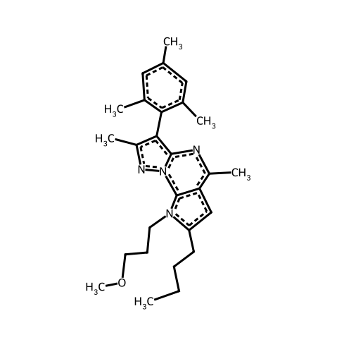 CCCCc1cc2c(C)nc3c(-c4c(C)cc(C)cc4C)c(C)nn3c2n1CCCOC